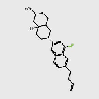 C=CCCc1ccc2cc([C@@H]3CC[C@@H]4CC(CCC)CCC4C3)cc(F)c2c1